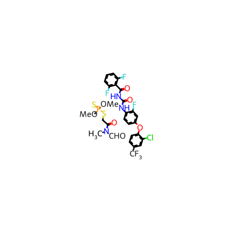 COP(=S)(OC)SCC(=O)N(C)C=O.O=C(NC(=O)c1c(F)cccc1F)Nc1ccc(Oc2ccc(C(F)(F)F)cc2Cl)cc1F